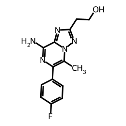 Cc1c(-c2ccc(F)cc2)nc(N)c2nc(CCO)nn12